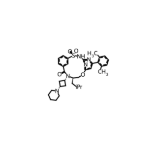 Cc1cccc(C)c1-c1cc2nc(n1)NS(=O)(=O)c1cccc(c1)C(=O)N([C@H]1C[C@@H](N3CCCCC3)C1)[C@H](CC(C)C)CO2